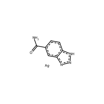 NC(=O)c1ccc2[nH]nnc2c1.[Ag]